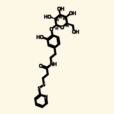 O=C(CCSSc1ccccn1)NCCc1ccc(O[C@@H]2O[C@H](CO)[C@H](O)[C@H](O)[C@H]2O)c(O)c1